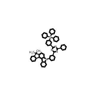 CC1(C)c2ccccc2-c2c1ccc1c2c2ccccc2n1-c1cccc(-c2nc(-c3ccccc3)nc(-c3cccc([Si](c4ccccc4)(c4ccccc4)c4ccccc4)c3)n2)c1